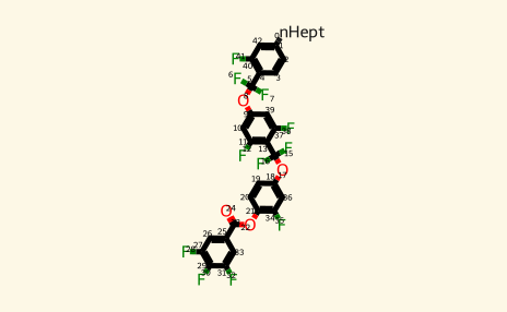 CCCCCCCc1ccc(C(F)(F)Oc2cc(F)c(C(F)(F)Oc3ccc(OC(=O)c4cc(F)c(F)c(F)c4)c(F)c3)c(F)c2)c(F)c1